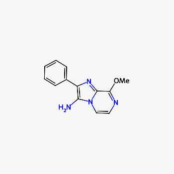 COc1nccn2c(N)c(-c3ccccc3)nc12